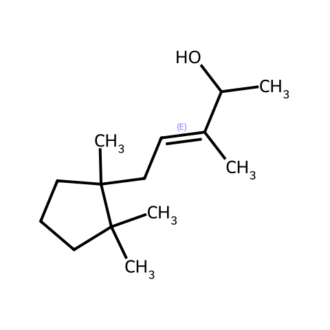 C/C(=C\CC1(C)CCCC1(C)C)C(C)O